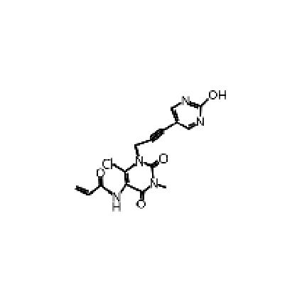 C=CC(=O)Nc1c(Cl)n(CC#Cc2cnc(O)nc2)c(=O)n(C)c1=O